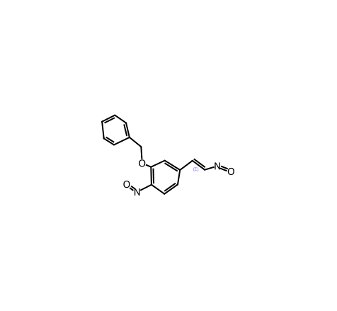 O=N/C=C/c1ccc(N=O)c(OCc2ccccc2)c1